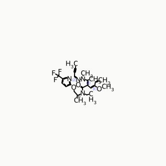 C=C/C(=C\C(C(=O)N(CC)[C@@H](C)COc1ccc(C(F)(F)F)cn1)=C(/C)N(C)/N=C\C#CC)OC